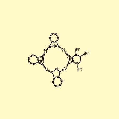 CC(C)c1cc(C(C)C)c2c3nc4nc(nc5[nH]c(nc6nc(nc([nH]3)c2c1C(C)C)-c1ccccc1-6)c1ccccc51)-c1ccccc1-4